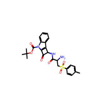 Cc1ccc(S(=O)(=O)CC(N)C(=O)NC2C(=O)c3c2c2ccccc2n3C(=O)OC(C)(C)C)cc1